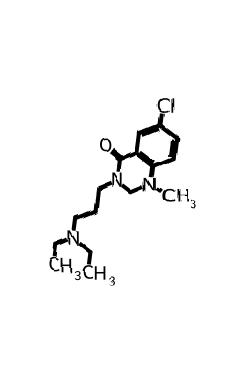 CCN(CC)CCCN1CN(C)c2ccc(Cl)cc2C1=O